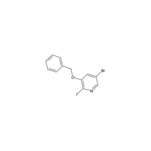 Brc1cnc(I)c(OCc2ccccc2)c1